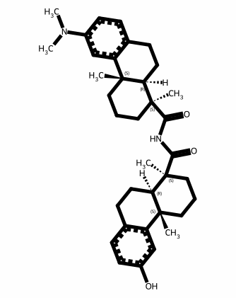 CN(C)c1ccc2c(c1)[C@@]1(C)CCC[C@](C)(C(=O)NC(=O)[C@@]3(C)CCC[C@]4(C)c5cc(O)ccc5CC[C@@H]34)[C@@H]1CC2